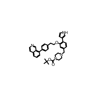 CC(C)(C)OC(=O)N1CCN(Cc2ccc(-c3cc[nH]c3)c(OCCc3ccc(-c4cccc5ccncc45)cc3)c2)CC1